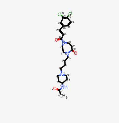 CC(=O)NC1CCN(CCCCN2CCN(C(=O)C=Cc3ccc(Cl)c(Cl)c3)CCC2=O)CC1